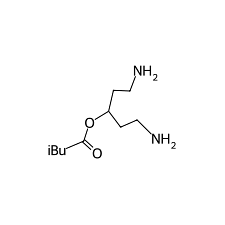 CCC(C)C(=O)OC(CCN)CCN